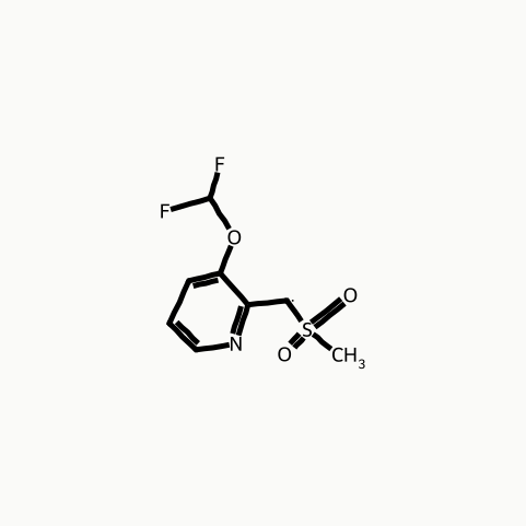 CS(=O)(=O)[CH]c1ncccc1OC(F)F